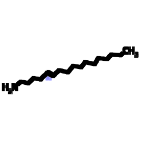 CCCCCCCCCCC/C=C/CCCCN